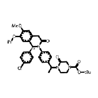 COc1cc2c(cc1OC(C)C)[C@H](c1ccc(Cl)cc1)N(c1ccc(C(C)N3CCN(C(=O)OC(C)(C)C)CC3=O)cc1)C(=O)C2